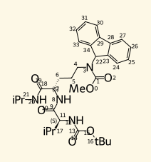 COC(=O)N(CCC[C@H](NC(=O)[C@@H](NC(=O)OC(C)(C)C)C(C)C)C(=O)NC(C)C)C1c2ccccc2-c2ccccc21